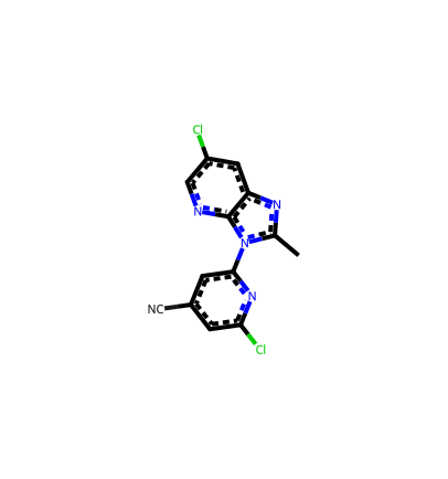 Cc1nc2cc(Cl)cnc2n1-c1cc(C#N)cc(Cl)n1